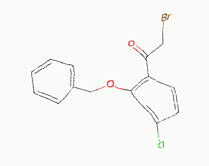 O=C(CBr)c1ccc(Cl)cc1OCc1ccccc1